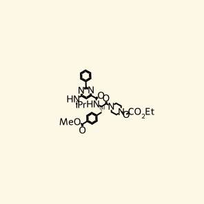 CCOC(=O)ON1CCN(C(=O)[C@H](Cc2ccc(C(=O)OC)cc2)NC(=O)c2cc(NC(C)C)nc(-c3ccccc3)n2)CC1